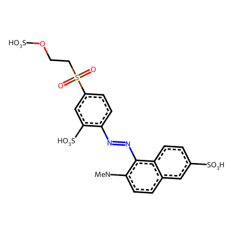 CNc1ccc2cc(S(=O)(=O)O)ccc2c1/N=N/c1ccc(S(=O)(=O)CCOS(=O)(=O)O)cc1S(=O)(=O)O